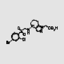 O=C(O)Cn1ncc2c1CCC[C@H]2NCS(=O)(=O)c1ccc(Br)cc1Cl